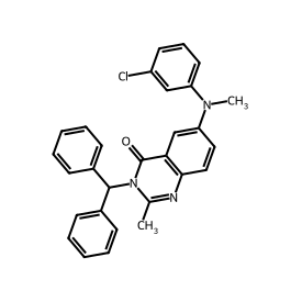 Cc1nc2ccc(N(C)c3cccc(Cl)c3)cc2c(=O)n1C(c1ccccc1)c1ccccc1